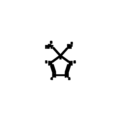 CCCC1(Br)N=NN=N1